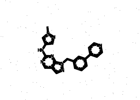 Cn1cc(Nc2ncc3cnn(Cc4cccc(-c5ccncc5)c4)c3n2)cn1